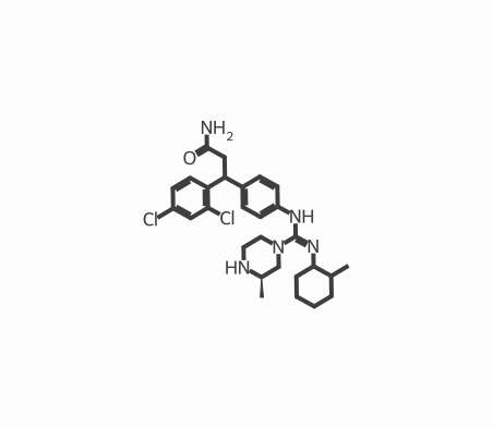 CC1CCCCC1/N=C(/Nc1ccc(C(CC(N)=O)c2ccc(Cl)cc2Cl)cc1)N1CCN[C@H](C)C1